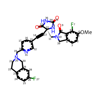 COc1ccc2c(c1F)C(=O)N(C[C@@]1(C#Cc3ccc(CN4CCc5ccc(F)cc5C4)nc3)NC(=O)NC1=O)C2